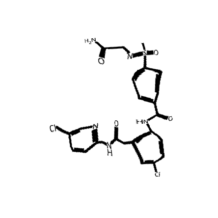 CS(=O)(=NCC(N)=O)c1ccc(C(=O)Nc2ccc(Cl)cc2C(=O)Nc2ccc(Cl)cn2)cc1